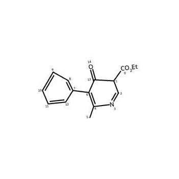 CCOC(=O)C1C=NC(C)=C(c2ccccc2)C1=O